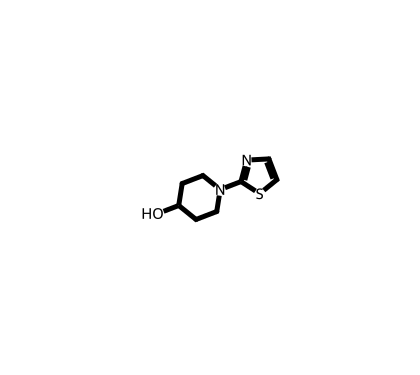 OC1CCN(c2nccs2)CC1